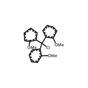 COc1ccccc1C(Cl)(c1ccccc1OC)c1ccccc1OC